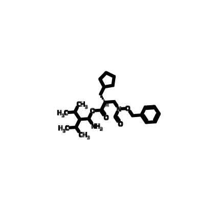 CC(C)C(C(C)C)C(N)OC(=O)[C@H](CC1CCCC1)CN(C=O)OCc1ccccc1